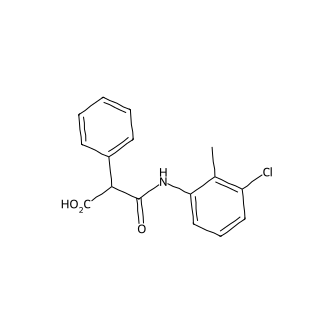 Cc1c(Cl)cccc1NC(=O)C(C(=O)O)c1ccccc1